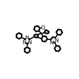 c1ccc(-c2cc(-c3ccc4c(c3)C3(c5ccccc5Oc5ccccc53)c3ccc(-c5nc(-c6ccccc6)nc(-c6ccccc6)n5)cc3-4)nc(-c3ccccc3)n2)cc1